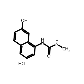 CNC(=O)Nc1cccc2ccc(O)cc12.Cl